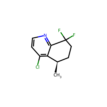 C[C@@H]1CCC(F)(F)c2nccc(Cl)c21